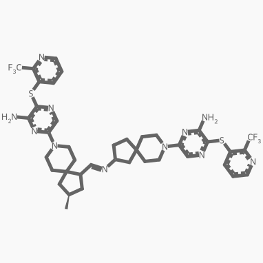 C[C@@H]1CC(/C=N/C2CCC3(CCN(c4cnc(Sc5cccnc5C(F)(F)F)c(N)n4)CC3)C2)C2(CCN(c3cnc(Sc4cccnc4C(F)(F)F)c(N)n3)CC2)C1